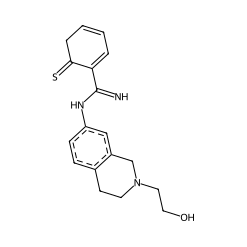 N=C(Nc1ccc2c(c1)CN(CCO)CC2)C1=CC=CCC1=S